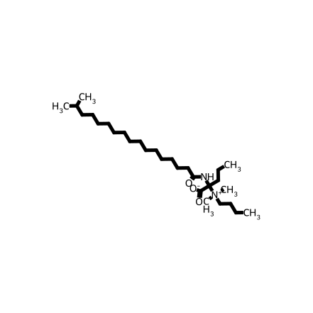 CCCC[N+](C)(C)C(CCC)(NC(=O)CCCCCCCCCCCCCCC(C)C)C(=O)[O-]